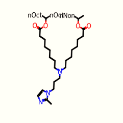 CCCCCCCCCC(C)OC(=O)CCCCCCCN(CCCCCCCC(=O)OC(CCCCCCCC)CCCCCCCC)CCCn1ccnc1C